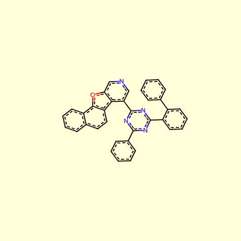 c1ccc(-c2nc(-c3ccccc3-c3ccccc3)nc(-c3cncc4oc5c6ccccc6ccc5c34)n2)cc1